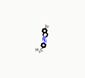 Cc1ccc(/N=N/N2CCc3cc(Br)ccc3C2)cc1